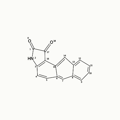 O=C1Nc2ccc3cc4ccccc4cc3c2C1=O